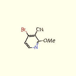 COc1nccc(Br)c1C#N